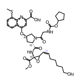 COC(=O)[C@@]1(NC(=O)[C@@H]2C[C@@H](Oc3cc(C(=O)O)nc4c(SC)cccc34)CN2C(=O)CNC(=O)OC2CCCC2)OC1/C=C\CCCCCO